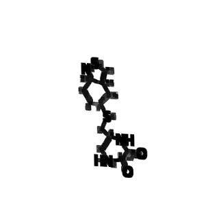 O=c1[nH]cc(CSc2ccc3nscc3c2)[nH]c1=O